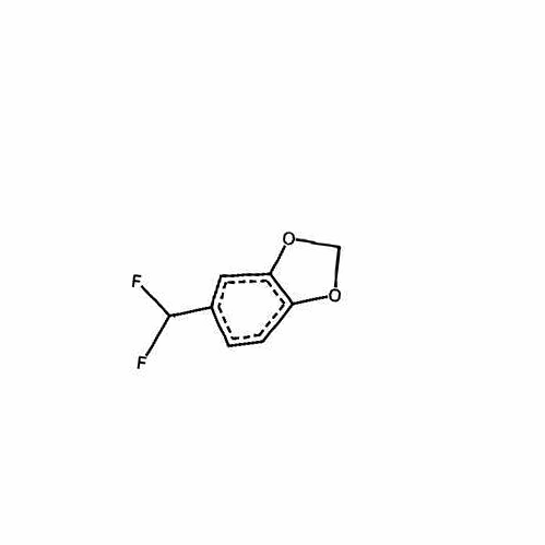 F[C](F)c1ccc2c(c1)OCO2